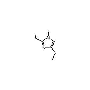 CCc1cn(C)c(CC)n1